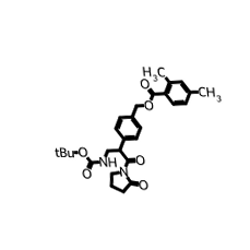 Cc1ccc(C(=O)OCc2ccc(C(CNC(=O)OC(C)(C)C)C(=O)N3CCCC3=O)cc2)c(C)c1